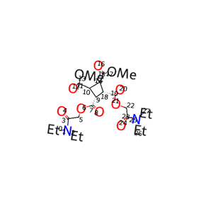 CCN(CC)C(=O)COC(=O)[C@@H]1C(C(=O)OC)C(C(=O)OC)[C@@H]1C(=O)OCC(=O)N(CC)CC